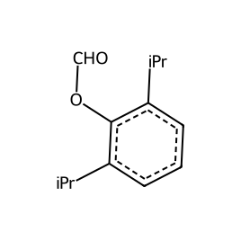 CC(C)c1cccc(C(C)C)c1OC=O